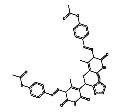 CC(=O)Oc1ccc(N=NC2C(=O)NC(=O)C(CC(C3=C(C)C(N=Nc4ccc(OC(C)=O)cc4)C(=O)NC3=O)c3ncc[nH]3)=C2C)cc1